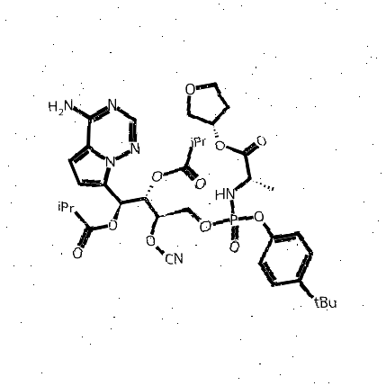 CC(C)C(=O)O[C@H]([C@@H](COP(=O)(N[C@@H](C)C(=O)O[C@H]1CCOC1)Oc1ccc(C(C)(C)C)cc1)OC#N)[C@@H](OC(=O)C(C)C)c1ccc2c(N)ncnn12